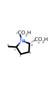 CC1CC[C@@H](C(=O)O)N1C(=O)O